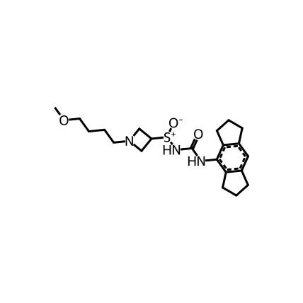 COCCCCN1CC([S+]([O-])NC(=O)Nc2c3c(cc4c2CCC4)CCC3)C1